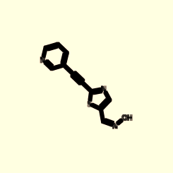 O/N=C\c1cnc(C#Cc2cccnc2)s1